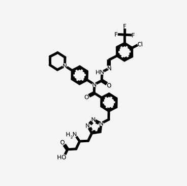 NC(CC(=O)O)Cc1cn(Cc2cccc(C(=O)N(C(=O)NN=Cc3ccc(Cl)c(C(F)(F)F)c3)c3ccc(N4CCCCC4)cc3)c2)nn1